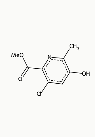 COC(=O)c1nc(C)c(O)cc1Cl